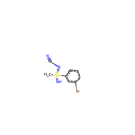 CS(=N)(=NC#N)c1cccc(Br)c1